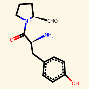 N[C@@H](Cc1ccc(O)cc1)C(=O)[N+]1CCC[C@H]1C=O